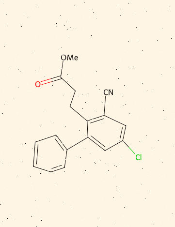 COC(=O)CCc1c(C#N)cc(Cl)cc1-c1ccccc1